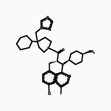 N[C@H]1CC[C@@H](N(c2ccc(F)cn2)[C@H](Cc2ccc(Cl)cc2)C(=O)N2CCC(Cn3cncn3)(C3CCCCC3)CC2)CC1